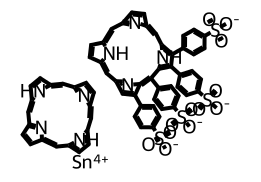 C1=Cc2cc3ccc(cc4nc(cc5ccc(cc1n2)[nH]5)C=C4)[nH]3.O=S(=O)([O-])c1ccc(C2=Cc3cc4ccc(cc5nc(cc6[nH]c(c(-c7ccc(S(=O)(=O)[O-])cc7)c2n3)c(-c2ccc(S(=O)(=O)[O-])cc2)c6-c2ccc(S(=O)(=O)[O-])cc2)C=C5)[nH]4)cc1.[Sn+4]